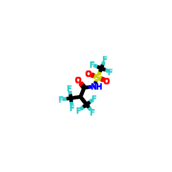 O=C(NS(=O)(=O)C(F)(F)F)C(C(F)(F)F)C(F)(F)F